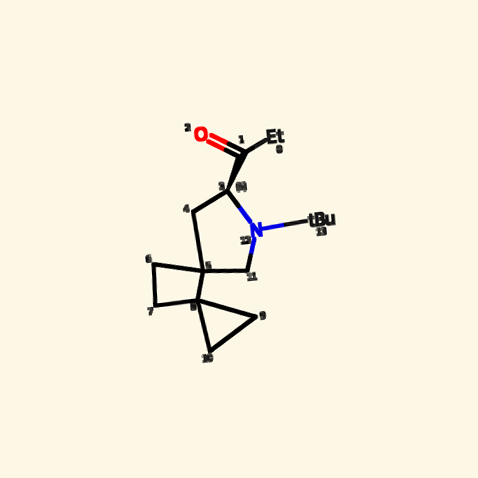 CCC(=O)[C@@H]1CC2(CCC23CC3)CN1C(C)(C)C